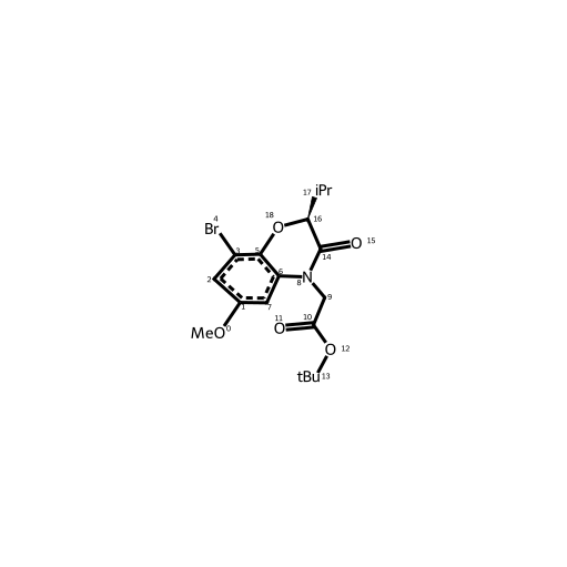 COc1cc(Br)c2c(c1)N(CC(=O)OC(C)(C)C)C(=O)[C@H](C(C)C)O2